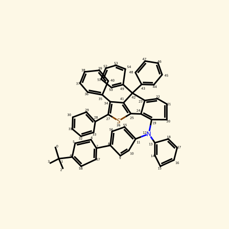 CC(C)(C)c1ccc(-c2ccc(N(c3ccccc3)c3cccc4c3-c3sc(-c5ccccc5)c(-c5ccccc5)c3C4(c3ccccc3)c3ccccc3)cc2)cc1